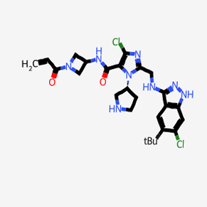 C=CC(=O)N1CC(NC(=O)c2c(Cl)nc(CNc3n[nH]c4cc(Cl)c(C(C)(C)C)cc34)n2[C@@H]2CCNC2)C1